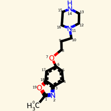 Cc1nc2ccc(OCCCN3CCNCC3)cc2o1